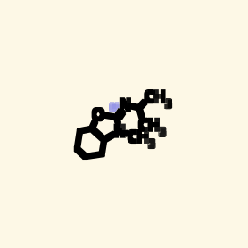 CC(C)/N=C1/OC2CCCCC2N1C